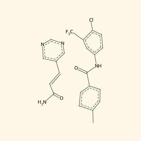 Cc1ccc(C(=O)Nc2ccc(Cl)c(C(F)(F)F)c2)cc1.NC(=O)C=Cc1cncnc1